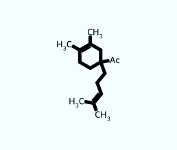 CC(=O)C1(CCC=C(C)C)CCC(C)=C(C)C1